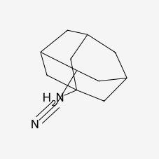 N#CC1CC2CC3CC1CC(N)(C2)C3